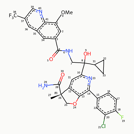 COc1cc(C(=O)NCC(O)(c2cc3c(c(-c4ccc(F)c(Cl)c4)n2)OC[C@]3(C)C(N)=O)C2CC2)cc2cc(C(F)(F)F)cnc12